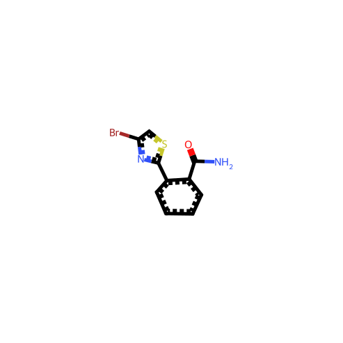 NC(=O)c1ccccc1-c1nc(Br)cs1